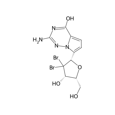 Nc1nc(O)c2ccc([C@@H]3O[C@H](CO)[C@H](O)C3(Br)Br)n2n1